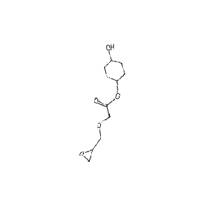 O=C(COCC1CO1)OC1CCC(O)CC1